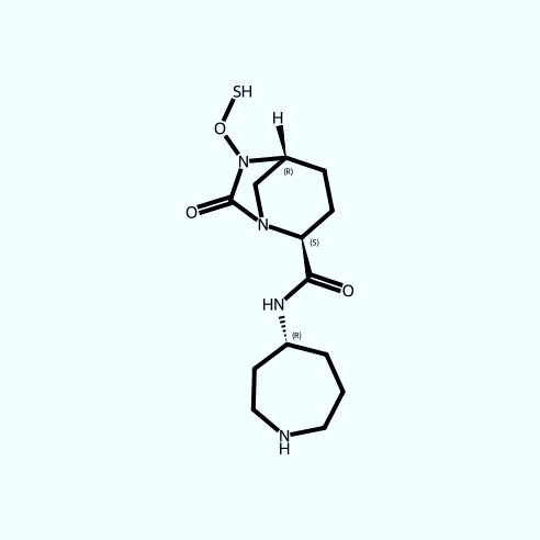 O=C(N[C@@H]1CCCNCC1)[C@@H]1CC[C@@H]2CN1C(=O)N2OS